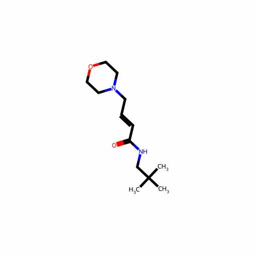 CC(C)(C)CNC(=O)/C=C/CN1CCOCC1